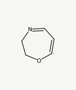 [C]1=CC=NCCO1